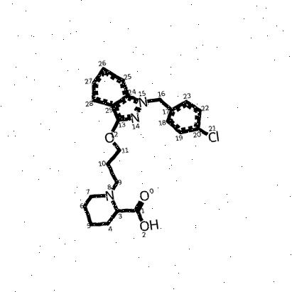 O=C(O)C1CCCCN1CCCOc1nn(Cc2ccc(Cl)cc2)c2ccccc12